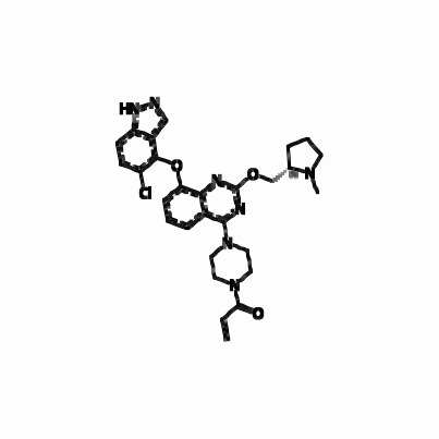 C=CC(=O)N1CCN(c2nc(OC[C@@H]3CCCN3C)nc3c(Oc4c(Cl)ccc5[nH]ncc45)cccc23)CC1